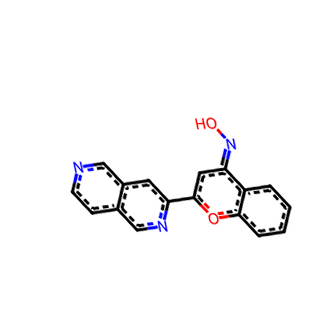 ON=c1cc(-c2cc3cnccc3cn2)oc2ccccc12